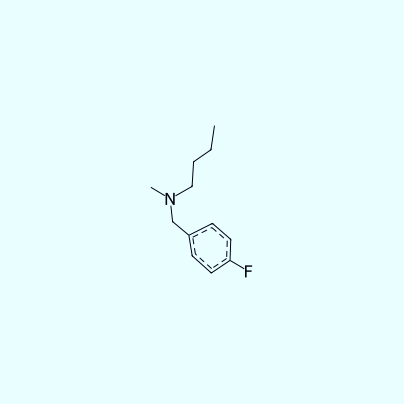 CCCCN(C)Cc1ccc(F)cc1